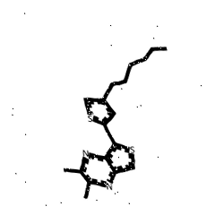 CCCCCCc1csc(-c2scc3nc(C)c(C)nc23)c1